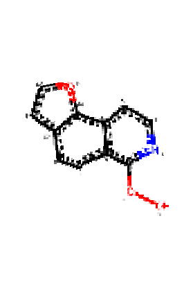 OOc1nccc2c1ccc1ccoc12